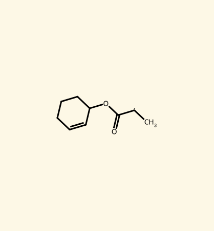 C[CH]C(=O)OC1C=CCCC1